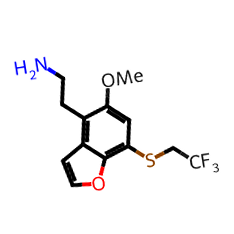 COc1cc(SCC(F)(F)F)c2occc2c1CCN